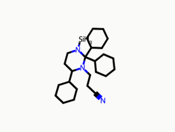 N#CCCN1C(C2CCCCC2)CCN([SiH3])C1(C1CCCCC1)C1CCCCC1